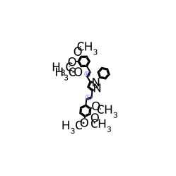 COc1ccc(/C=C/c2cc(/C=C/c3ccc(OC)c(OC)c3OC)n(-c3ccccc3)n2)c(OC)c1OC